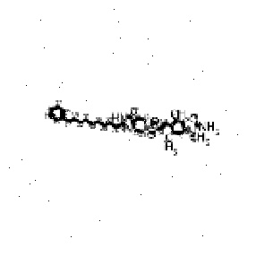 Cc1cc(N(C)C(N)=O)cc(C)c1/C=C/S(=O)(=O)N1CCC2(CC1)N=C(CCCCCCC/C=C/c1ccccc1)NC2=O